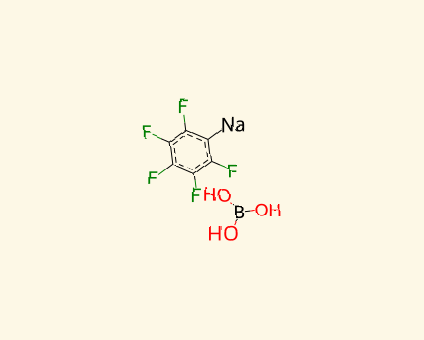 Fc1c(F)c(F)[c]([Na])c(F)c1F.OB(O)O